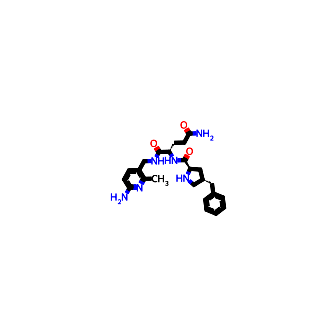 Cc1nc(N)ccc1CNC(=O)[C@H](CCC(N)=O)NC(=O)[C@H]1C[C@H](Cc2ccccc2)CN1